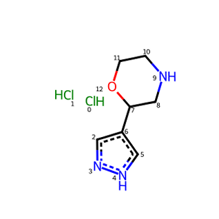 Cl.Cl.c1n[nH]cc1C1CNCCO1